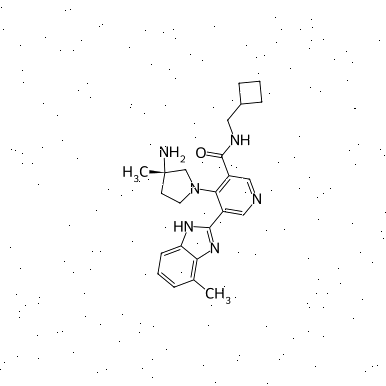 Cc1cccc2[nH]c(-c3cncc(C(=O)NCC4CCC4)c3N3CC[C@](C)(N)C3)nc12